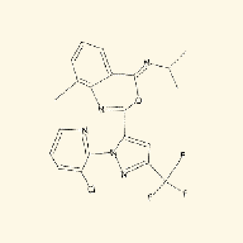 Cc1cccc2/c(=N/C(C)C)oc(-c3cc(C(F)(F)F)nn3-c3ncccc3Cl)nc12